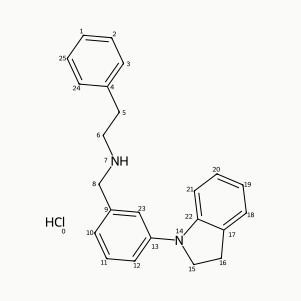 Cl.c1ccc(CCNCc2cccc(N3CCc4ccccc43)c2)cc1